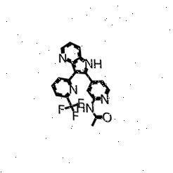 CC(=O)Nc1cc(-c2[nH]c3cccnc3c2-c2cccc(C(F)(F)F)n2)ccn1